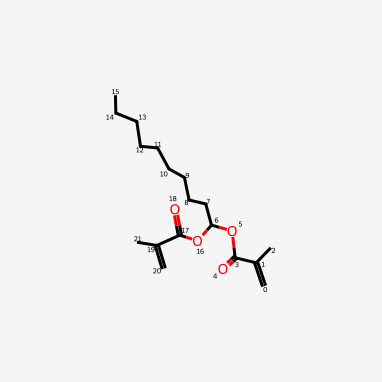 C=C(C)C(=O)OC(CCCCCCCCC)OC(=O)C(=C)C